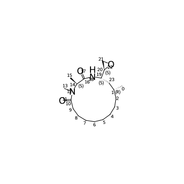 C[C@@H]1CCCCCCCCC(=O)N(C)[C@@H](C)C(=O)N[C@H]([C@H]2CO2)C1